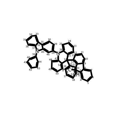 CC1(C)c2ccccc2-c2cccc(C3(c4ccccc4)c4ccccc4N(c4ccc5c6ccccc6n(-c6ccccc6)c5c4)c4ccccc43)c21